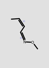 C/C=C\C=N/OC